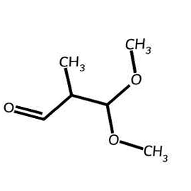 COC(OC)C(C)C=O